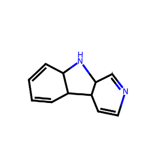 [C]1=NC=CC2C1NC1C=CC=CC12